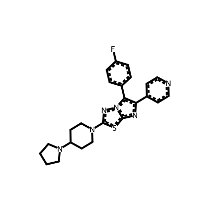 Fc1ccc(-c2c(-c3ccncc3)nc3sc(N4CCC(N5CCCC5)CC4)nn23)cc1